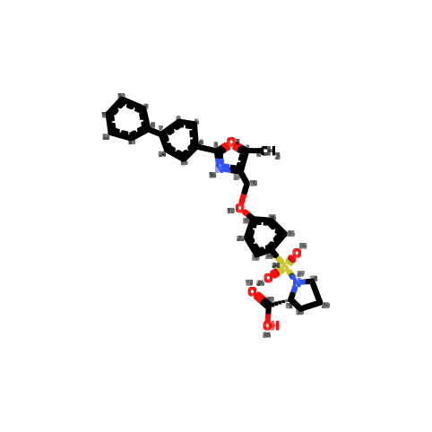 Cc1oc(-c2ccc(-c3ccccc3)cc2)nc1COc1ccc(S(=O)(=O)N2CCC[C@@H]2C(=O)O)cc1